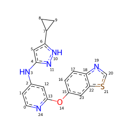 c1cc(Nc2cc(C3CC3)[nH]n2)cc(Oc2ccc3ncsc3c2)n1